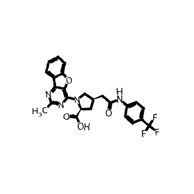 Cc1nc(N2C[C@@H](CC(=O)Nc3ccc(C(F)(F)F)cc3)C[C@H]2C(=O)O)c2oc3ccccc3c2n1